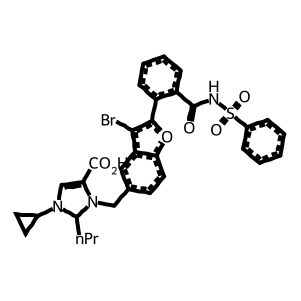 CCCC1N(Cc2ccc3oc(-c4ccccc4C(=O)NS(=O)(=O)c4ccccc4)c(Br)c3c2)C(C(=O)O)=CN1C1CC1